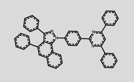 c1ccc(-c2cc(-c3ccccc3)nc(-c3ccc(-n4nc(-c5ccccc5)c5c(-c6ccccc6)cc6ccccc6c54)cc3)n2)cc1